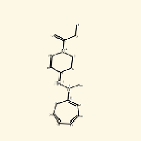 C=C(CC)N1CCC(NN(C)C2=CC=CC=CC2)CC1